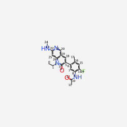 CCn1c(=O)c(-c2cc(NC(C)=O)c(F)cc2C)cc2cnc(NC)cc21